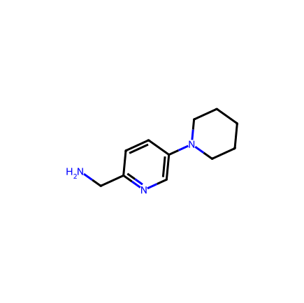 NCc1ccc(N2CCCCC2)cn1